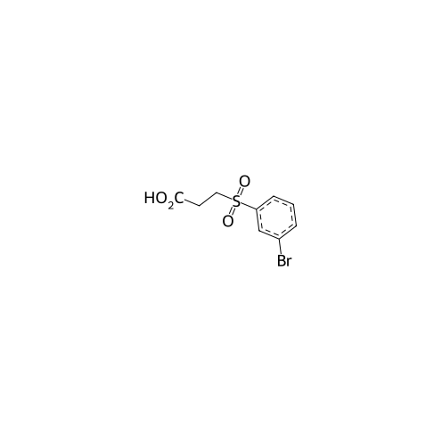 O=C(O)CCS(=O)(=O)c1cccc(Br)c1